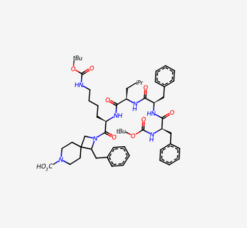 CC(C)C[C@@H](NC(=O)[C@@H](Cc1ccccc1)NC(=O)[C@@H](Cc1ccccc1)NC(=O)OC(C)(C)C)C(=O)N[C@H](CCCCNC(=O)OC(C)(C)C)C(=O)N1CC2(CCN(C(=O)O)CC2)C1Cc1ccccc1